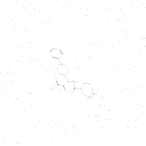 O=C(O)C(=O)C(NC(=O)C1CCCNNC1)C1CCN(c2ccncc2)CC1